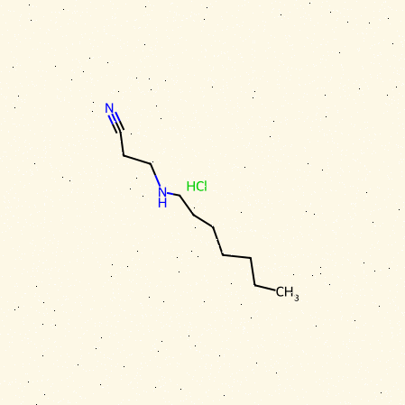 CCCCCCCNCCC#N.Cl